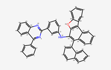 c1ccc(-c2nc(-c3cccc(Nc4c(-c5cccc6ccccc56)c5ccccc5c5c4oc4ccccc45)c3)nc3ccccc23)cc1